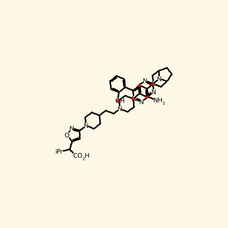 CC(C)C(C(=O)O)c1cc(N2CCC(CCN3CCC(c4cnc(N5C6CCC5CN(c5cc(-c7ccccc7O)nnc5N)C6)nc4)CC3)CC2)no1